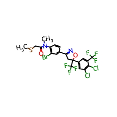 CSCC(=O)N(C)c1ccc(C2=NOC(c3cc(Cl)c(Cl)c(C(F)(F)F)c3)(C(F)(F)F)C2)cc1Br